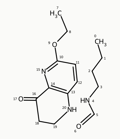 CCCCNC=O.CCOc1ccc2c(n1)C(=O)CCN2